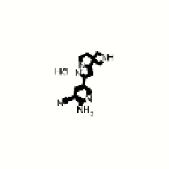 Cl.N#Cc1cc(-c2cc3n(n2)CCC32CNC2)cnc1N